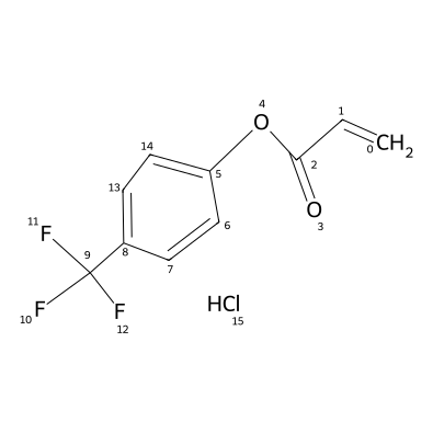 C=CC(=O)Oc1ccc(C(F)(F)F)cc1.Cl